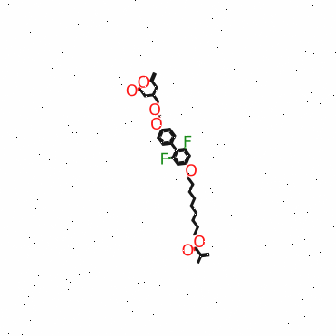 C=C1CC(COCOc2ccc(-c3c(F)cc(OCCCCCCCCCOC(=O)C(=C)C)cc3F)cc2)CC(=O)O1